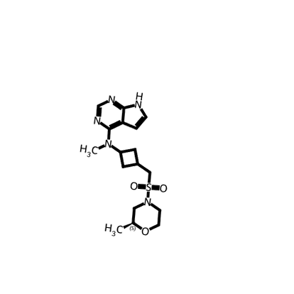 C[C@H]1CN(S(=O)(=O)CC2CC(N(C)c3ncnc4[nH]ccc34)C2)CCO1